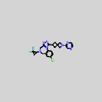 FC1(F)CC1N1Cc2cc(Cl)ccc2-n2c(nnc2C2CC3(C2)CN(c2cnccn2)C3)C1